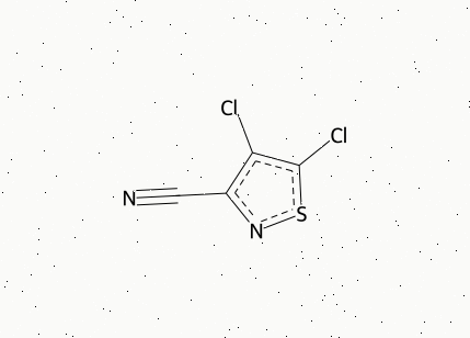 N#Cc1nsc(Cl)c1Cl